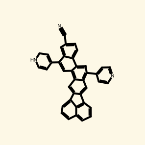 N#Cc1ccc2c(c1)c(C1=CCNC=C1)cc1c3cc4c(cc3c(-c3ccncc3)cc21)-c1cccc2cccc-4c12